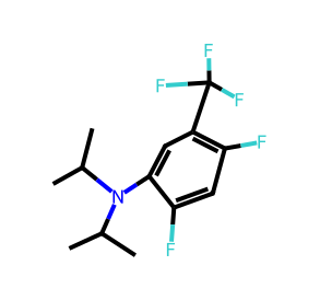 CC(C)N(c1cc(C(F)(F)F)c(F)cc1F)C(C)C